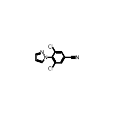 N#Cc1cc(Cl)c(-n2cccn2)c(Cl)c1